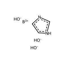 [B+3].[OH-].[OH-].[OH-].c1c[nH]cn1